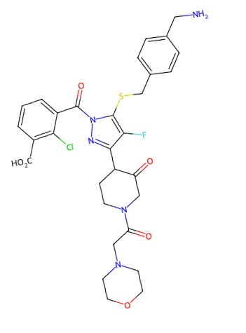 NCc1ccc(CSc2c(F)c(C3CCN(C(=O)CN4CCOCC4)CC3=O)nn2C(=O)c2cccc(C(=O)O)c2Cl)cc1